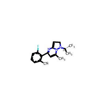 CC1=CC(c2c(F)cccc2C#N)=NC2=CCN([C@@H](C)C(F)(F)F)N12